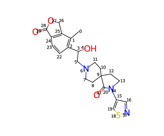 Cc1c(C(O)CN2CCC3(CC2)CCN(c2cnsc2)C3=O)ccc2c1COC2=O